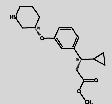 COC(=O)C[C@H](c1cccc(O[C@H]2CCCNC2)c1)C1CC1